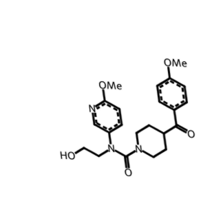 COc1ccc(C(=O)C2CCN(C(=O)N(CCO)c3ccc(OC)nc3)CC2)cc1